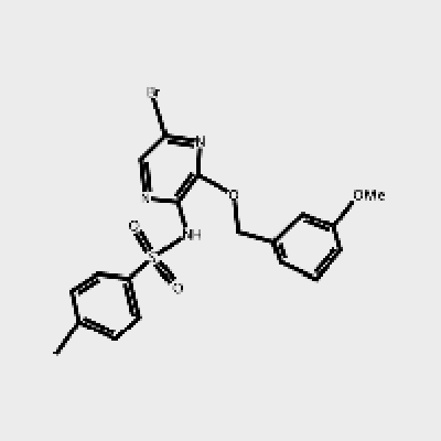 COc1cccc(COc2nc(Br)cnc2NS(=O)(=O)c2ccc(C)cc2)c1